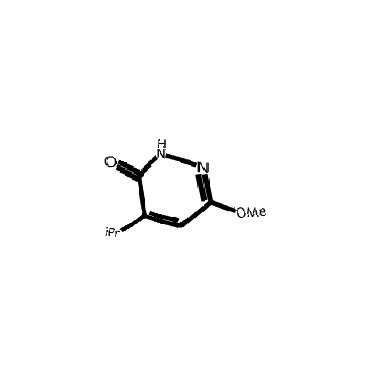 COc1cc(C(C)C)c(=O)[nH]n1